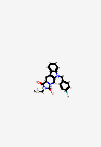 N#CCN1C(=O)C2Cc3c(n(Cc4ccc(F)cc4)c4ccccc34)CN2C1=O